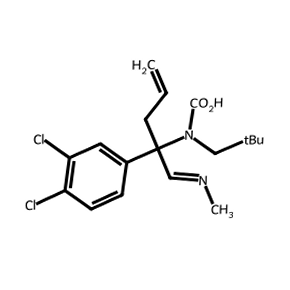 C=CCC(C=NC)(c1ccc(Cl)c(Cl)c1)N(CC(C)(C)C)C(=O)O